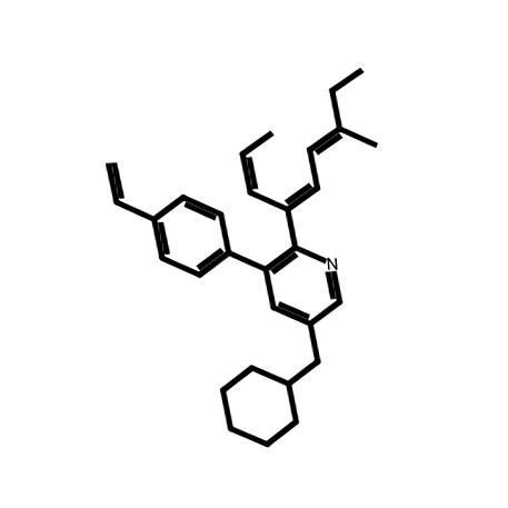 C=Cc1ccc(-c2cc(CC3CCCCC3)cnc2C(/C=C\C)=C/C=C(\C)CC)cc1